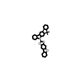 CC1(C)c2ccccc2-c2cc3c4ccccc4n(-c4nc5cc6oc7ccccc7c6cc5o4)c3cc21